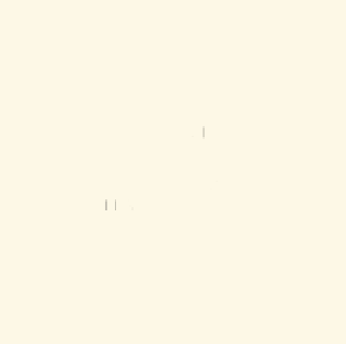 Fc1ccc(CC[SiH3])cc1Cl